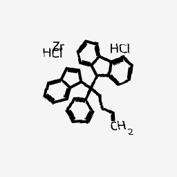 C=CCCC(c1ccccc1)(C1C=Cc2ccccc21)C1c2ccccc2-c2ccccc21.Cl.Cl.[Zr]